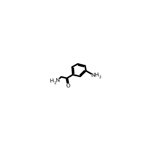 NCC(=O)c1cccc(N)c1